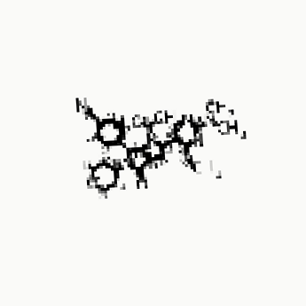 COc1nc(N(C)C)ncc1-c1cc2c(n1C(C)C)[C@H](c1ccc(C#N)cc1)N(C1CCOCC1)C2=O